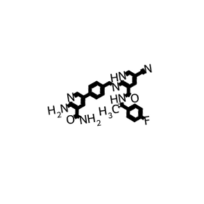 C[C@H](NC(=O)c1cc(C#N)cnc1NCc1ccc(-c2cnc(N)c(C(N)=O)c2)cc1)c1ccc(F)cc1